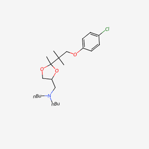 CCCCN(CCCC)CC1COC(C)(C(C)(C)COc2ccc(Cl)cc2)O1